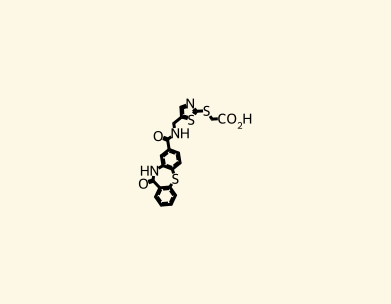 O=C(O)CSc1ncc(CNC(=O)c2ccc3c(c2)NC(=O)c2ccccc2S3)s1